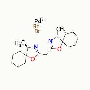 C[C@H]1N=C(CC2=N[C@H](C)C3(CCCCC3)O2)OC12CCCCC2.[Br-].[Br-].[Pd+2]